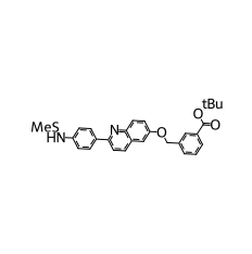 CSNc1ccc(-c2ccc3cc(OCc4cccc(C(=O)OC(C)(C)C)c4)ccc3n2)cc1